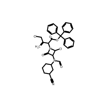 C=C(CCl)C(C(=O)OC(c1ccccc1)(c1ccccc1)c1ccccc1)N1C(=O)C(N(C=O)C2CCCC(C#N)C2)C1Cl